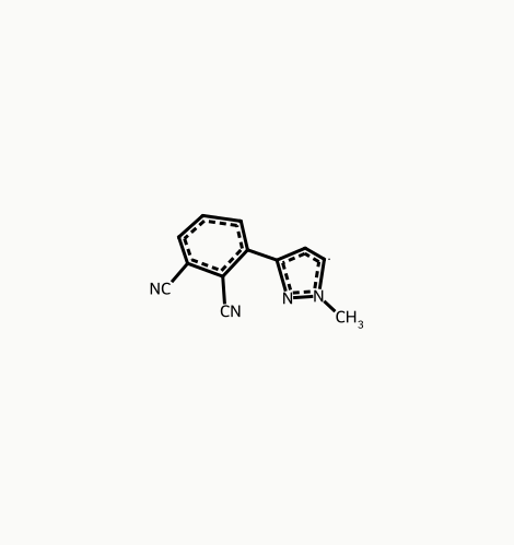 Cn1[c]cc(-c2cccc(C#N)c2C#N)n1